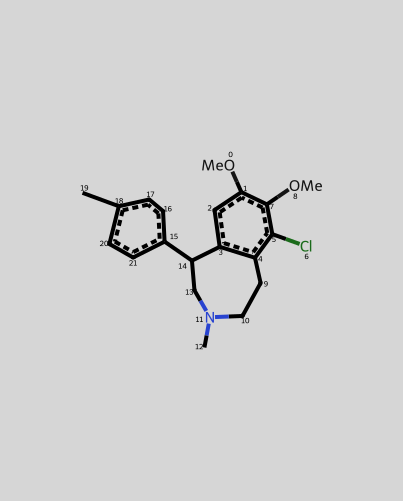 COc1cc2c(c(Cl)c1OC)CCN(C)CC2c1ccc(C)cc1